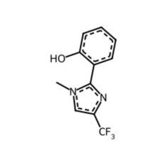 Cn1cc(C(F)(F)F)nc1-c1ccccc1O